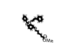 COC(=O)CCCCCOc1ccc2nc(-c3ccccc3)n(CC=Cc3ccccc3)c2c1